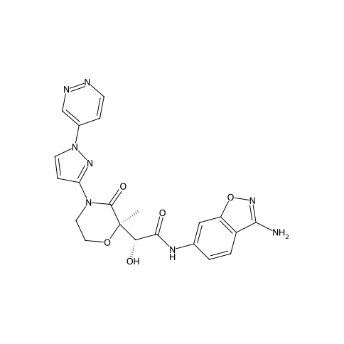 C[C@]1([C@@H](O)C(=O)Nc2ccc3c(N)noc3c2)OCCN(c2ccn(-c3ccnnc3)n2)C1=O